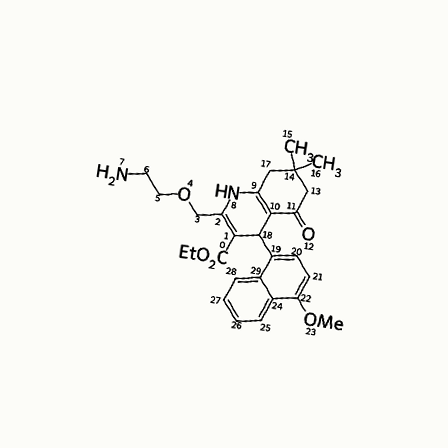 CCOC(=O)C1=C(COCCN)NC2=C(C(=O)CC(C)(C)C2)C1c1ccc(OC)c2ccccc12